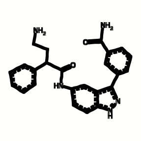 NCCC(C(=O)Nc1ccc2[nH]nc(-c3cccc(C(N)=O)c3)c2c1)c1ccccc1